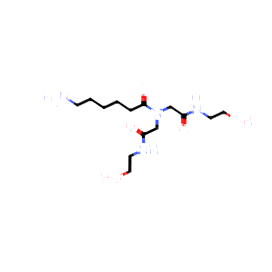 NCCCCCC(=O)N(CC(=O)NCCO)CC(=O)NCCO